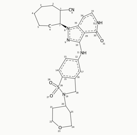 N#CC1CCCCC[C@@H]1n1nc(Nc2ccc3c(c2)CN(C2CCOCC2)S3(=O)=O)c2c(=O)[nH]ccc21